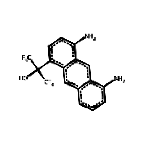 Nc1cccc2cc3c(C(O)(C(F)(F)F)C(F)(F)F)ccc(N)c3cc12